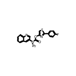 CC(C)N(C(=O)Oc1csc(-c2ccc(F)cc2)n1)c1cnc2ccccc2c1